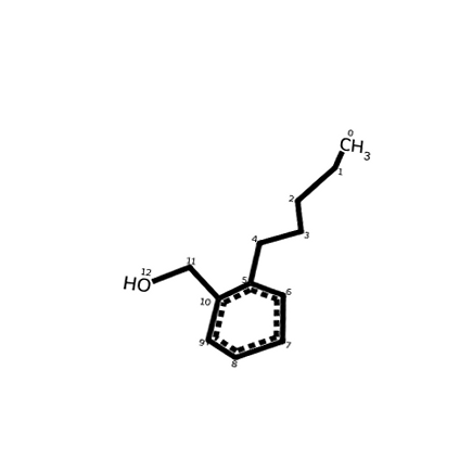 CCCCCc1ccc[c]c1CO